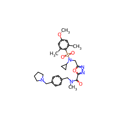 COc1cc(C)c(S(=O)(=O)N(Cc2nnc(C(=O)N(C)Cc3ccc(CN4CCCC4)cc3)o2)C2CC2)c(C)c1